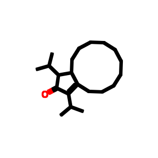 CC(C)C1=C2CCCCCCCCCCC2C(C(C)C)C1=O